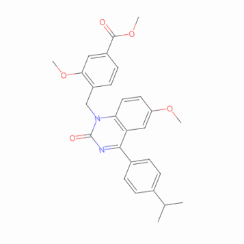 COC(=O)c1ccc(Cn2c(=O)nc(-c3ccc(C(C)C)cc3)c3cc(OC)ccc32)c(OC)c1